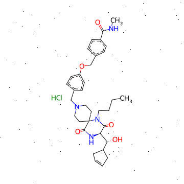 CCCCN1C(=O)[C@@H]([C@H](O)C2CC=CC2)NC(=O)C12CCN(Cc1ccc(OCc3ccc(C(=O)NC)cc3)cc1)CC2.Cl